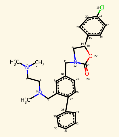 CN(C)CCN(C)Cc1cc(CN2C[C@@H](c3ccc(Cl)cc3)OC2=O)ccc1-c1ccccc1